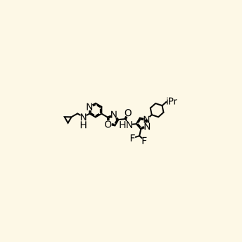 CC(C)C1CCC(n2cc(NC(=O)c3coc(-c4ccnc(NCC5CC5)c4)n3)c(C(F)F)n2)CC1